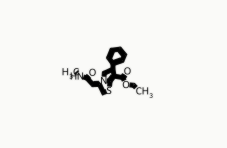 CCOC(=O)C1=C2SCC(=CC(=O)NC)N2CC1c1ccccc1